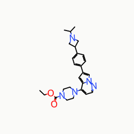 CCOC(=O)N1CCN(c2ccnn3cc(-c4ccc(C5CN(C(C)C)C5)cc4)cc23)CC1